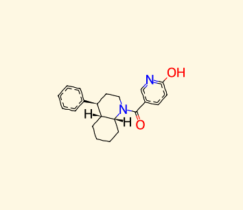 O=C(c1ccc(O)nc1)N1CC[C@H](c2ccccc2)[C@H]2CCCC[C@H]21